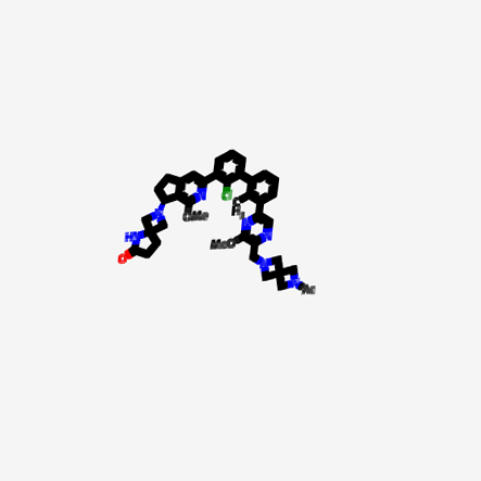 COc1nc(-c2cccc(-c3cccc(-c4cc5c(c(OC)n4)[C@@H](N4CC6(CCC(=O)N6)C4)CC5)c3Cl)c2C)cnc1CN1CC2(C1)CN(C(C)=O)C2